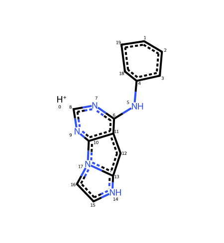 [H+].c1ccc(Nc2ncnc3c2cc2[nH]ccn23)cc1